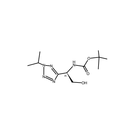 CC(C)n1nnc([C@H](CO)NC(=O)OC(C)(C)C)n1